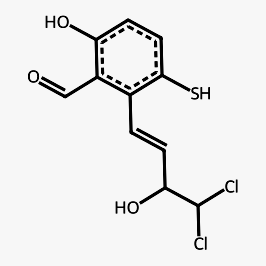 O=Cc1c(O)ccc(S)c1/C=C/C(O)C(Cl)Cl